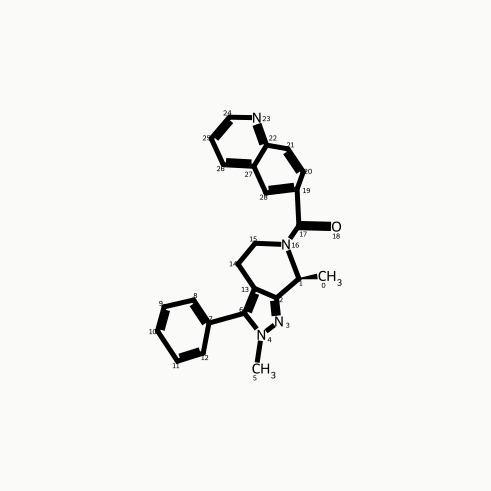 C[C@H]1c2nn(C)c(-c3ccccc3)c2CCN1C(=O)c1ccc2ncccc2c1